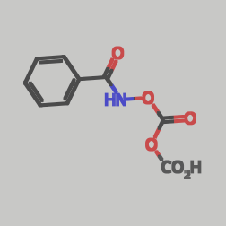 O=C(O)OC(=O)ONC(=O)c1ccccc1